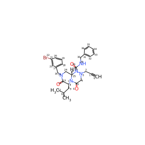 C#CCN1CC(=O)N2[C@@H](CC(C)C)C(=O)N(Cc3cccc(Br)c3)C[C@@H]2N1C(=O)NCc1ccccc1